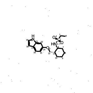 CCS(=O)(=O)N[C@H]1CCCC[C@@H]1COc1ccc2cc[nH]c2c1